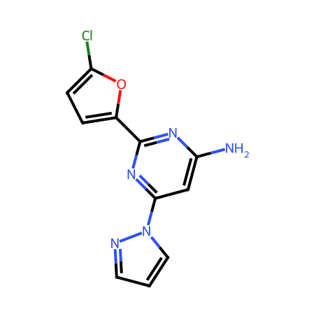 Nc1cc(-n2cccn2)nc(-c2ccc(Cl)o2)n1